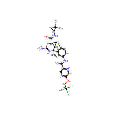 C[C@]1(c2cc(NC(=O)c3cnc(OCC(F)(F)F)cn3)ccc2F)N=C(N)S[C@@]2(C(=O)N[C@H]3CC3(F)F)C[C@H]21